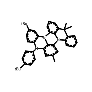 Cc1cc2c3c(c1)N1c4ccccc4C(C)(C)c4cccc(c41)B3c1cc(C(C)(C)C)ccc1N2c1ccc(C(C)(C)C)cc1